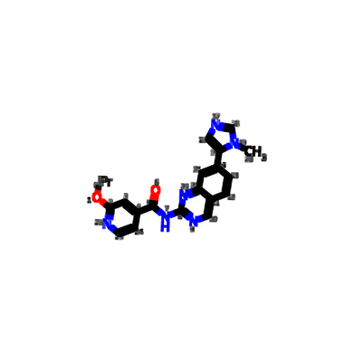 CC(C)Oc1cc(C(=O)Nc2ncc3ccc(-c4cncn4C)cc3n2)ccn1